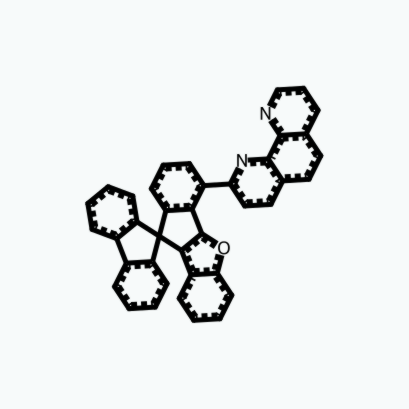 c1ccc2c(c1)-c1ccccc1C21c2cccc(-c3ccc4ccc5cccnc5c4n3)c2-c2oc3ccccc3c21